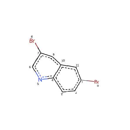 Brc1c[c]c2ncc(Br)cc2c1